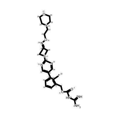 N=C(N)NC(=O)OCc1cccc(-c2cnc(N3CC(=NOCCN4CCOCC4)C3)nc2)c1F